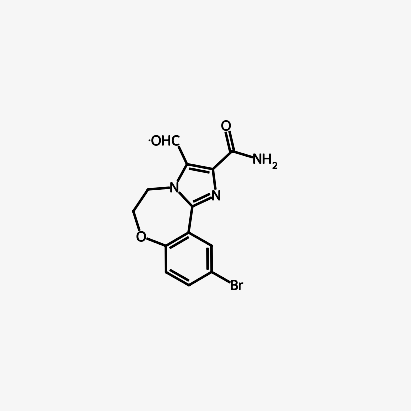 NC(=O)c1nc2n(c1[C]=O)CCOc1ccc(Br)cc1-2